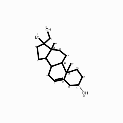 CCC1(CO)CCC2C3CC=C4C[C@@H](O)CCC4(C)C3CCC21C